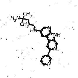 CC(C)(N)CCCNc1cnc2[nH]c3cnc(-c4cccnc4)cc3c2c1